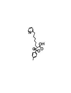 Cc1ccc(S(=O)(=O)C(CCCCCCc2ccccn2)C(=O)O)cc1